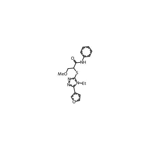 CCn1c(SC(COC)C(=O)Nc2ccccc2)nnc1-c1ccoc1